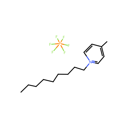 CCCCCCCCC[n+]1ccc(C)cc1.F[P-](F)(F)(F)(F)F